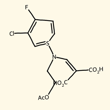 CC(=O)OCCN(C=C(C(=O)O)C(=O)O)S1=CC(Cl)=C(F)C=C1